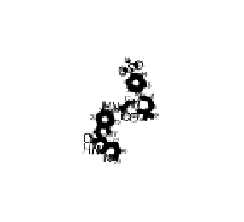 CC1(C)CC[C@@H](c2ccc(S(C)(=O)=O)cc2)N(CC(=O)Nc2ccc3c(c2)C[C@@]2(C3)C(=O)Nc3ncccc32)C1=O